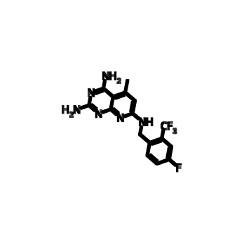 Cc1cc(NCc2ccc(F)cc2C(F)(F)F)nc2nc(N)nc(N)c12